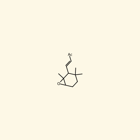 CC(=O)C=CC1C(C)(C)CCC2OC21C